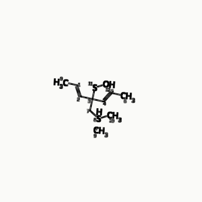 CC=CC(C=CC)(C[SH](C)C)SO